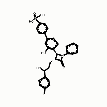 O=C1[C@H](CCC(O)c2ccc(F)cc2)[C@@H](c2ccc(-c3ccc(P(=O)(O)O)cc3)cc2O)N1c1ccccc1